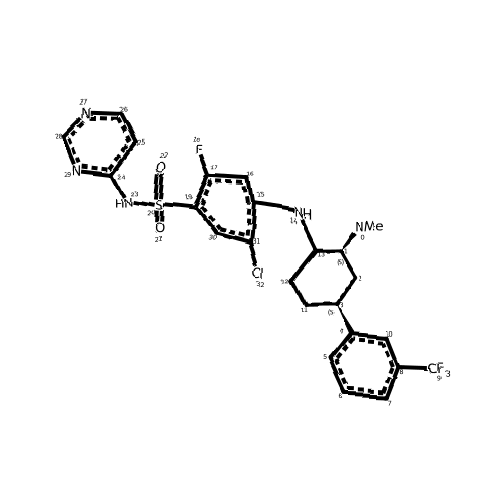 CN[C@H]1C[C@@H](c2cccc(C(F)(F)F)c2)CCC1Nc1cc(F)c(S(=O)(=O)Nc2ccncn2)cc1Cl